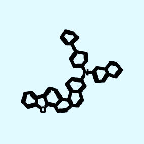 C1=CC2=CC=C(N(c3ccc(-c4ccccc4)cc3)c3ccc4c(ccc5ccc6c(ccc7c8ccccc8oc76)c54)c3)CC2C=C1